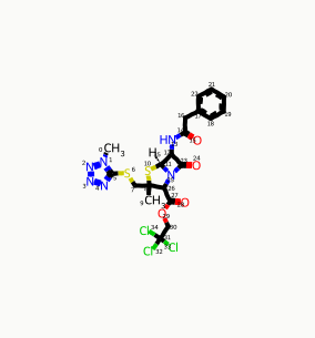 Cn1nnnc1SCC1(C)S[C@H]2C(NC(=O)Cc3ccccc3)C(=O)N2C1C(=O)OCC(Cl)(Cl)Cl